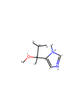 COC(C)(c1cncn1C)C(C)C